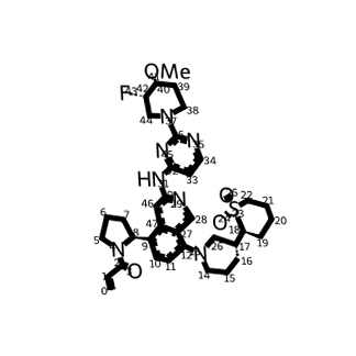 C=CC(=O)N1CCC[C@H]1c1ccc(N2CCC[C@@H]([C@@H]3CCCCS3(=O)=O)C2)c2cnc(Nc3ccnc(N4CC[C@@H](OC)[C@@H](F)C4)n3)cc12